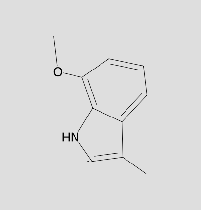 COc1cccc2c(C)[c][nH]c12